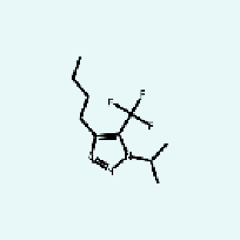 CCCCc1nnn(C(C)C)c1C(F)(F)F